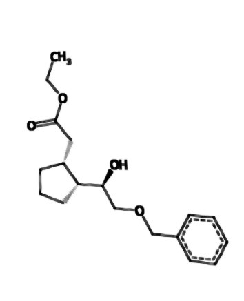 CCOC(=O)C[C@H]1CCC[C@H]1[C@@H](O)COCc1ccccc1